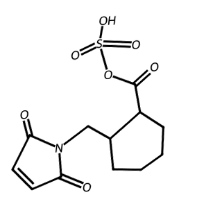 O=C(OS(=O)(=O)O)C1CCCCC1CN1C(=O)C=CC1=O